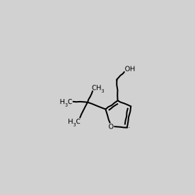 CC(C)(C)c1o[c]cc1CO